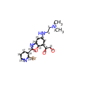 CN(C)CCNc1cc(C(=O)C=O)c2oc(-c3cccnc3Br)nc2c1